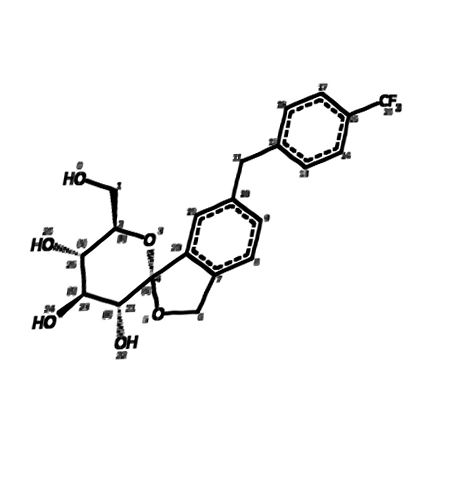 OC[C@H]1O[C@]2(OCc3ccc(Cc4ccc(C(F)(F)F)cc4)cc32)[C@H](O)[C@@H](O)[C@@H]1O